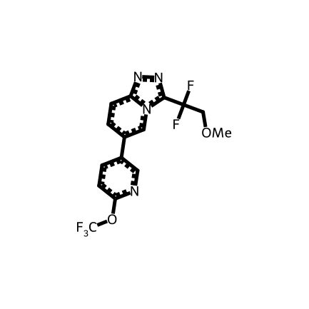 COCC(F)(F)c1nnc2ccc(-c3ccc(OC(F)(F)F)nc3)cn12